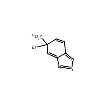 CCC1(C(=O)O)C=CC2=NN=NC2=C1